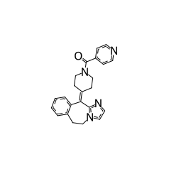 O=C(c1ccncc1)N1CCC(=C2c3ccccc3CCn3ccnc32)CC1